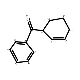 O=C(c1ccccc1)C1C=CCCC1